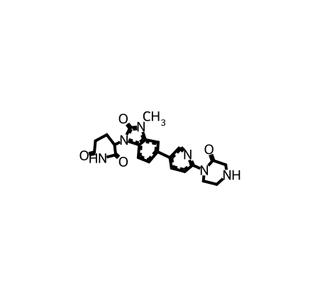 Cn1c(=O)n(C2CCC(=O)NC2=O)c2ccc(-c3ccc(N4CCNCC4=O)nc3)cc21